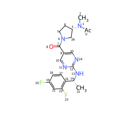 CC(=O)N(C)[C@H]1CCN(C(=O)c2cnc(N[C@H](C)c3ccc(F)cc3F)nc2)C1